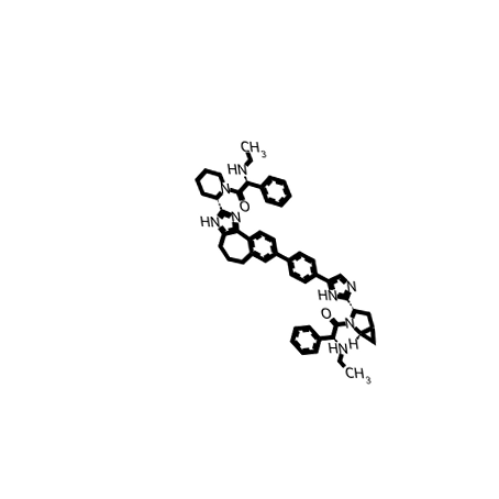 CCN[C@@H](C(=O)N1CCCC[C@H]1c1nc2c([nH]1)CCCc1cc(-c3ccc(-c4cnc([C@@H]5CC6C[C@H]6N5C(=O)[C@H](NCC)c5ccccc5)[nH]4)cc3)ccc1-2)c1ccccc1